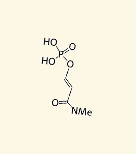 CNC(=O)C=COP(=O)(O)O